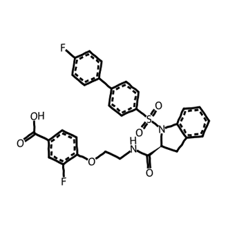 O=C(O)c1ccc(OCCNC(=O)[C@@H]2Cc3ccccc3N2S(=O)(=O)c2ccc(-c3ccc(F)cc3)cc2)c(F)c1